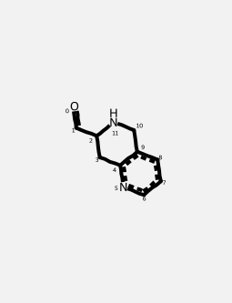 O=CC1Cc2ncccc2CN1